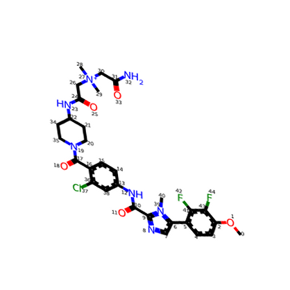 COc1ccc(-c2cnc(C(=O)Nc3ccc(C(=O)N4CCC(NC(=O)C[N+](C)(C)CC(N)=O)CC4)c(Cl)c3)n2C)c(F)c1F